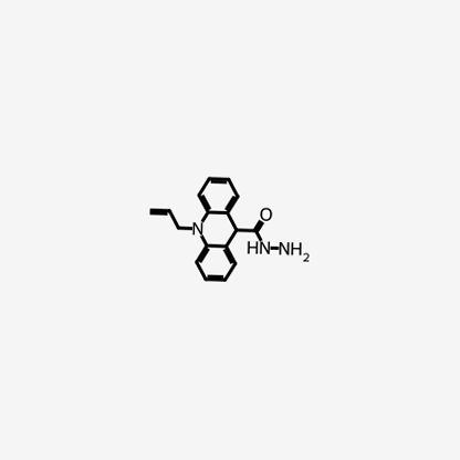 C=CCN1c2ccccc2C(C(=O)NN)c2ccccc21